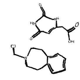 ClCN1CCc2ccccc2CC1.O=C(O)c1cc(=O)[nH]c(=O)[nH]1